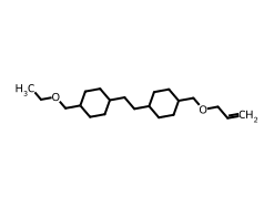 C=CCOCC1CCC(CCC2CCC(COCC)CC2)CC1